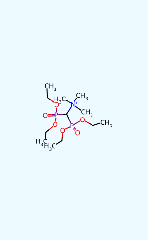 CCOP(=O)(OCC)C([N+](C)(C)C)P(=O)(OCC)OCC